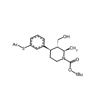 CC(=O)Sc1cccc([C@@H]2CCN(C(=O)OC(C)(C)C)[C@H](C)[C@H]2CO)c1